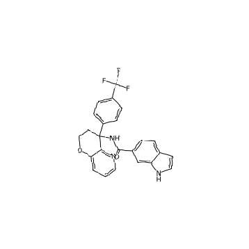 O=C(NC1(c2ccc(C(F)(F)F)cc2)CCOc2cccnc21)c1ccc2cc[nH]c2c1